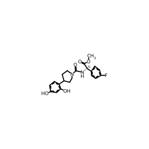 COC(=O)[C@@H](NC(=O)N1CCC(c2ccc(O)cc2O)CC1)c1ccc(F)cc1